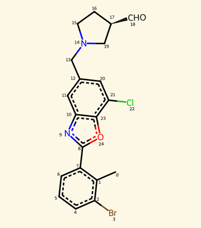 Cc1c(Br)cccc1-c1nc2cc(CN3CC[C@@H](C=O)C3)cc(Cl)c2o1